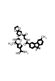 Cc1ccc2c(c1)-c1cc(C(=O)NCC(=O)N3CC4(C[C@H]3C(=O)N[C@H](C)c3cc(C(=N)N)cs3)OCCO4)ccc1C2(F)F